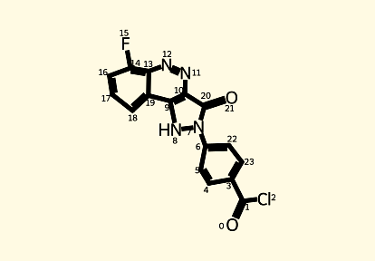 O=C(Cl)c1ccc(-n2[nH]c3c(nnc4c(F)cccc43)c2=O)cc1